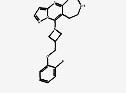 Fc1ccccc1OCC1CN(c2c3c(nc4ccnn24)CCNCC3)C1